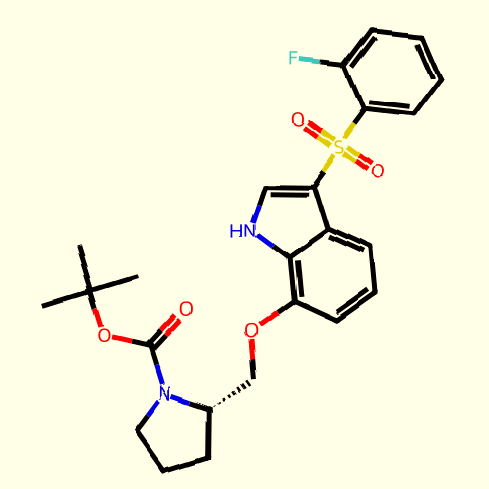 CC(C)(C)OC(=O)N1CCC[C@H]1COc1cccc2c(S(=O)(=O)c3ccccc3F)c[nH]c12